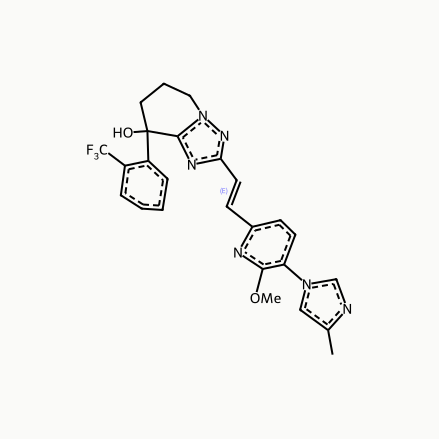 COc1nc(/C=C/c2nc3n(n2)CCCC3(O)c2ccccc2C(F)(F)F)ccc1-n1cnc(C)c1